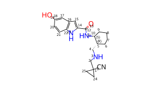 N#CC1(CNC[C@H]2CCCC[C@@H]2NC(=O)c2cc3cc(O)ccc3[nH]2)CC1